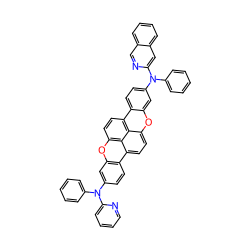 c1ccc(N(c2ccc3c(c2)Oc2ccc4c5c(ccc-3c25)Oc2cc(N(c3ccccc3)c3cc5ccccc5cn3)ccc2-4)c2ccccn2)cc1